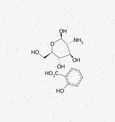 N[C@@H]1[C@@H](O)[C@H](O)[C@@H](CO)O[C@H]1O.O=C(O)c1ccccc1O